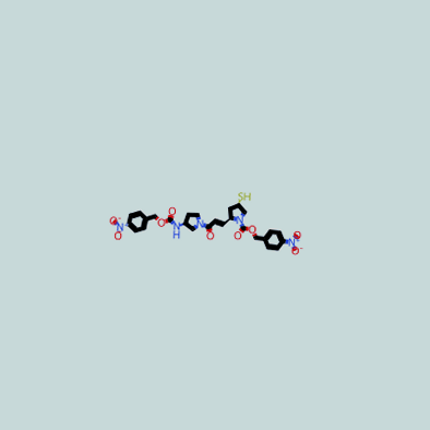 O=C(N[C@H]1CCN(C(=O)/C=C/[C@H]2C[C@H](S)CN2C(=O)OCc2ccc([N+](=O)[O-])cc2)C1)OCc1ccc([N+](=O)[O-])cc1